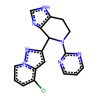 Clc1cccn2nc(C3c4nc[nH]c4CCN3c3ncccn3)cc12